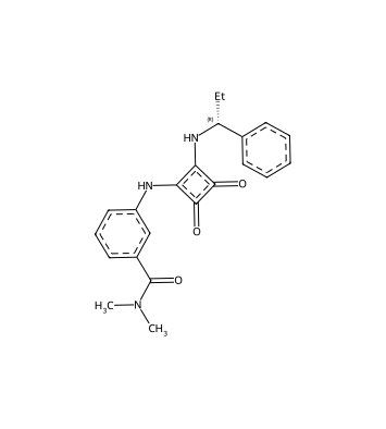 CC[C@@H](Nc1c(Nc2cccc(C(=O)N(C)C)c2)c(=O)c1=O)c1ccccc1